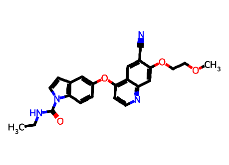 CCNC(=O)n1ccc2cc(Oc3ccnc4cc(OCCOC)c(C#N)cc34)ccc21